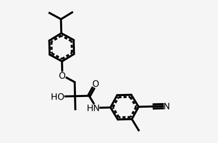 Cc1cc(NC(=O)C(C)(O)COc2ccc(C(C)C)cc2)ccc1C#N